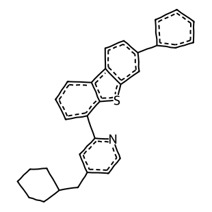 c1ccc(-c2ccc3c(c2)sc2c(-c4cc(CC5CCCCC5)ccn4)cccc23)cc1